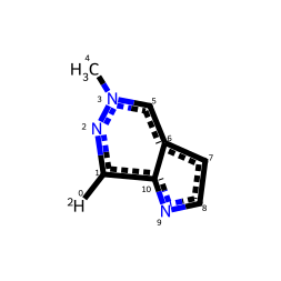 [2H]c1nn(C)cc2ccnc1-2